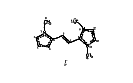 Cn1cccc1C=Cc1n(C)cc[n+]1C.[I-]